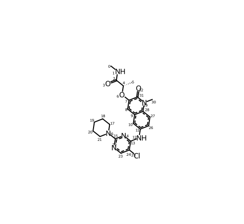 CNC(=O)[C@H](C)Oc1cc2cc(Nc3nc(N4CCCCC4)ncc3Cl)ccc2n(C)c1=O